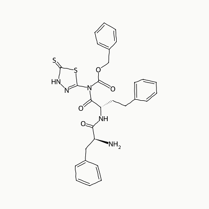 N[C@@H](Cc1ccccc1)C(=O)N[C@@H](CCc1ccccc1)C(=O)N(C(=O)OCc1ccccc1)c1n[nH]c(=S)s1